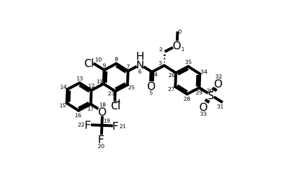 COC[C@@H](C(=O)Nc1cc(Cl)c(-c2ccccc2OC(F)(F)F)c(Cl)c1)c1ccc(S(C)(=O)=O)cc1